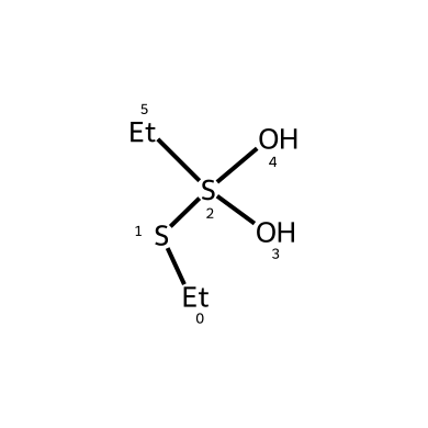 CCSS(O)(O)CC